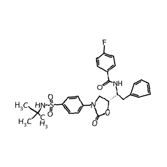 CC(C)(C)NS(=O)(=O)c1ccc(N2C[C@H](C(Cc3ccccc3)NC(=O)c3ccc(F)cc3)OC2=O)cc1